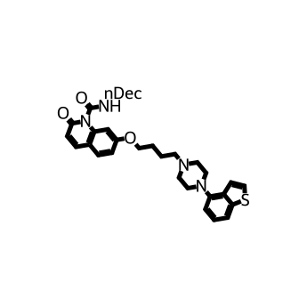 CCCCCCCCCCNC(=O)n1c(=O)ccc2ccc(OCCCCN3CCN(c4cccc5sccc45)CC3)cc21